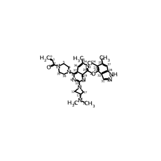 C=CC(=O)N1CCN(c2nc(N3CC(N(C)C)C3)nc3c(Oc4c(Cl)c(C)cc5[nH]ncc45)nc(C)cc23)CC1